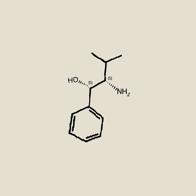 CC(C)[C@H](N)[C@@H](O)c1ccccc1